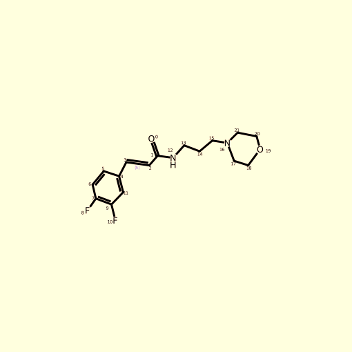 O=C(/C=C/c1ccc(F)c(F)c1)NCCCN1CCOCC1